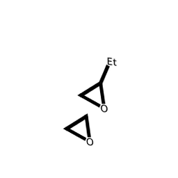 C1CO1.CCC1CO1